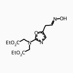 CCOC(=O)CN(CC(=O)OCC)c1ncc(CC=NO)o1